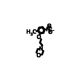 Cc1ccc([N+](=O)[O-])cc1OCCCN1CCOCC1